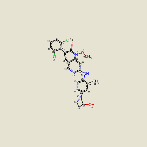 COn1c(=O)c(-c2c(Cl)cccc2Cl)cc2cnc(Nc3ccc(N4CCC4O)cc3C)nc21